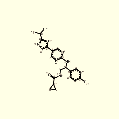 O=C(NCC(Nc1ncc(-c2nnc(C(F)F)o2)cn1)c1ccc(F)cc1)C1CC1